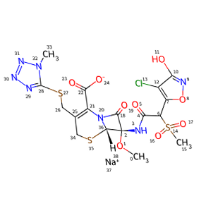 CO[C@@]1(NC(=O)C(c2onc(O)c2Cl)S(C)(=O)=O)C(=O)N2C(C(=O)[O-])=C(CSc3nnnn3C)CS[C@H]21.[Na+]